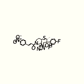 C[C@@H](SC1CCN(C(=O)C=Cc2ccc([N+](=O)[O-])cc2)CC1)[C@](O)(Cn1cncn1)c1ccc(F)cc1F